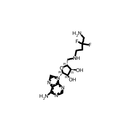 NCC(F)(F)CCNC[C@H]1O[C@@H](n2cnc3c(N)ncnc32)[C@H](O)[C@@H]1O